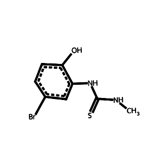 CNC(=S)Nc1cc(Br)ccc1O